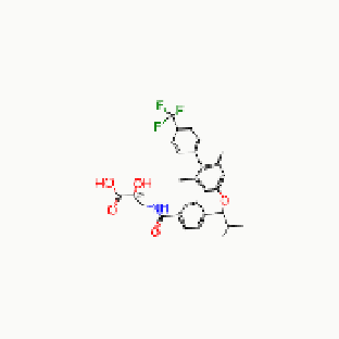 Cc1cc(OC(c2ccc(C(=O)NC[C@H](O)C(=O)O)cc2)C(C)C)cc(C)c1C1=CCC(C(F)(F)F)C=C1